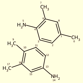 Cc1ccc(N)c(C)c1.Cc1ccc(N)cc1C